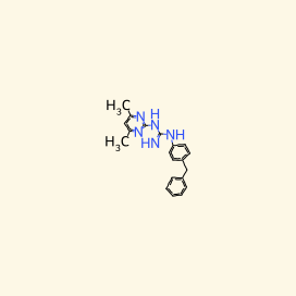 Cc1cc(C)nc(NC(=N)Nc2ccc(Cc3ccccc3)cc2)n1